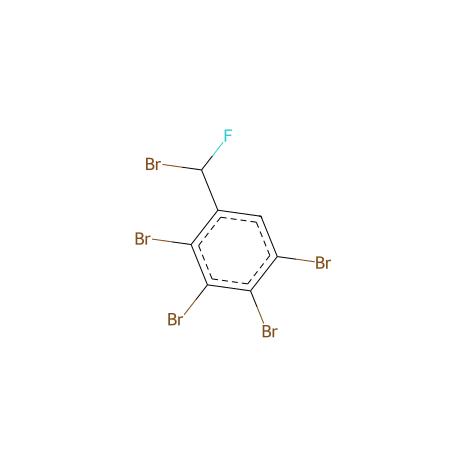 FC(Br)c1cc(Br)c(Br)c(Br)c1Br